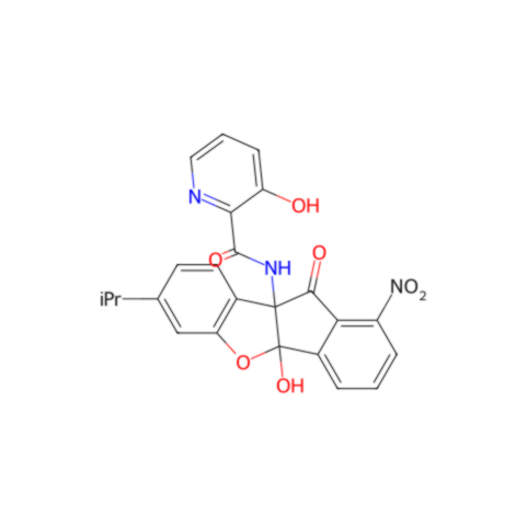 CC(C)c1ccc2c(c1)OC1(O)c3cccc([N+](=O)[O-])c3C(=O)C21NC(=O)c1ncccc1O